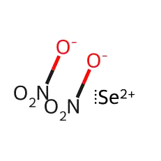 O=[N+]([O-])[O-].O=[N+]([O-])[O-].[Se+2]